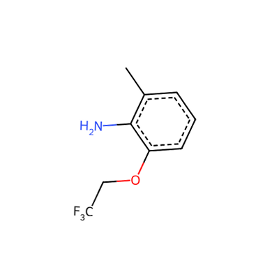 Cc1cccc(OCC(F)(F)F)c1N